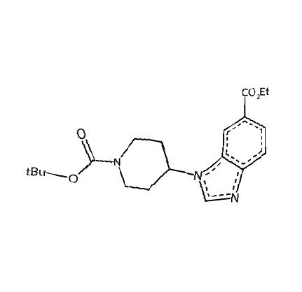 CCOC(=O)c1ccc2ncn(C3CCN(C(=O)OC(C)(C)C)CC3)c2c1